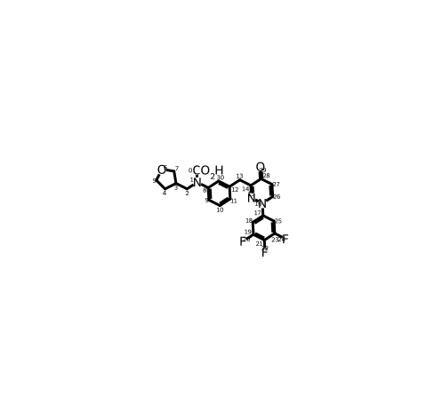 O=C(O)N(CC1CCOC1)c1cccc(Cc2nn(-c3cc(F)c(F)c(F)c3)ccc2=O)c1